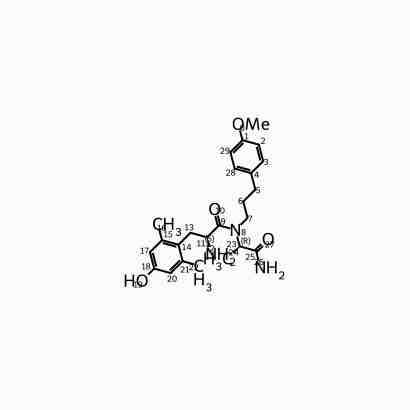 COc1ccc(CCCN(C(=O)[C@@H](N)Cc2c(C)cc(O)cc2C)[C@H](C)C(N)=O)cc1